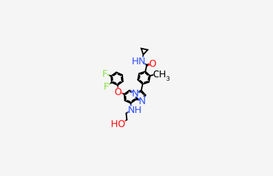 Cc1cc(-c2cnc3c(NCCO)cc(Oc4cccc(F)c4F)cn23)ccc1C(=O)NC1CC1